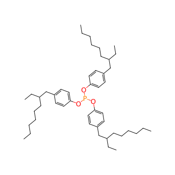 CCCCCCC(CC)Cc1ccc(OP(Oc2ccc(CC(CC)CCCCCC)cc2)Oc2ccc(CC(CC)CCCCCC)cc2)cc1